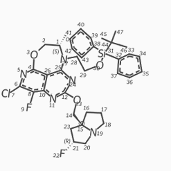 C[C@H]1COc2nc(Cl)c(F)c3nc(OC[C@@]45CCCN4C[C@H](F)C5)nc(c23)N1CCO[Si](c1ccccc1)(c1ccccc1)C(C)(C)C